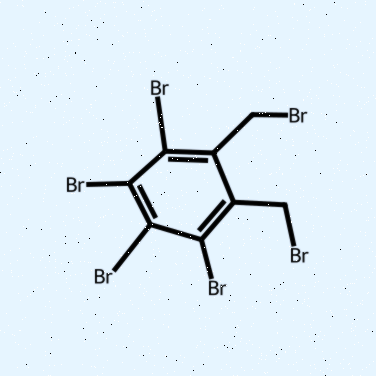 BrCc1c(Br)c(Br)c(Br)c(Br)c1CBr